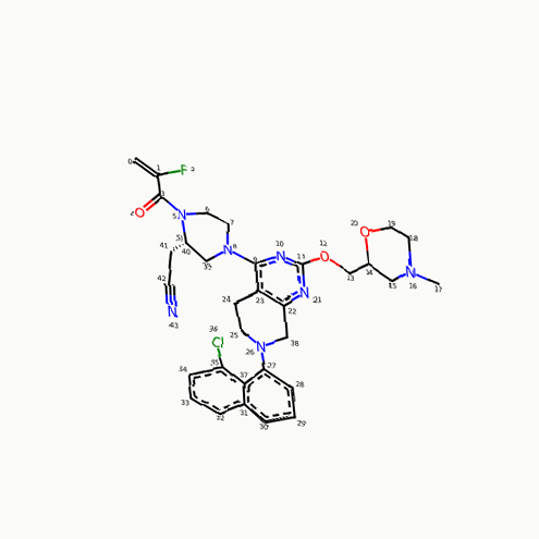 C=C(F)C(=O)N1CCN(c2nc(OCC3CN(C)CCO3)nc3c2CCN(c2cccc4cccc(Cl)c24)C3)C[C@@H]1CC#N